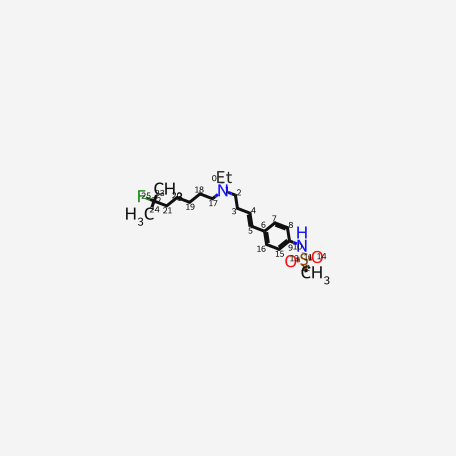 CCN(CC/C=C/c1ccc(NS(C)(=O)=O)cc1)CCCCCC(C)(C)F